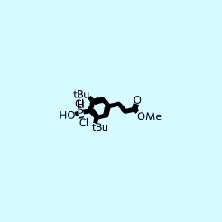 COC(=O)CCc1cc(C(C)(C)C)c([PH](O)(Cl)Cl)c(C(C)(C)C)c1